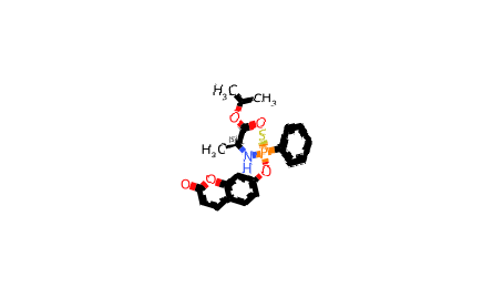 CC(C)OC(=O)[C@H](C)NP(=S)(Oc1ccc2ccc(=O)oc2c1)c1ccccc1